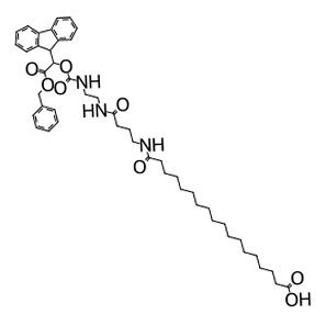 O=C(O)CCCCCCCCCCCCCCCCC(=O)NCCCC(=O)NCCNC(=O)OC(C(=O)OCc1ccccc1)C1c2ccccc2-c2ccccc21